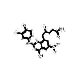 CC(CCC(N)=O)Cc1cc([N+](=O)[O-])cc2c(O)nc(Nc3ccc(Cl)c(Cl)c3)nc12